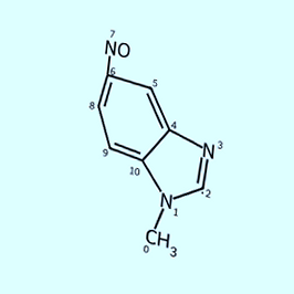 Cn1[c]nc2cc(N=O)ccc21